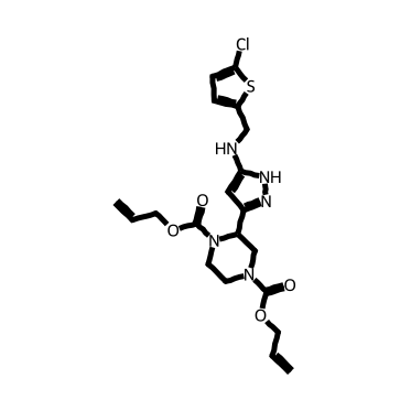 C=CCOC(=O)N1CCN(C(=O)OCC=C)C(c2cc(NCc3ccc(Cl)s3)[nH]n2)C1